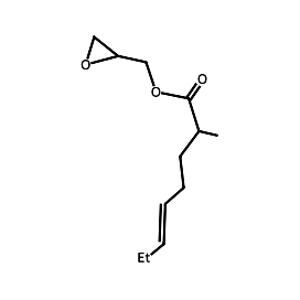 CCC=CCCC(C)C(=O)OCC1CO1